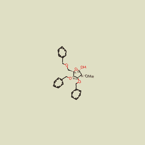 CO[C@@H]1[C@@H](OCc2ccccc2)[C@H](OCc2ccccc2)[C@@H](COCc2ccccc2)O[C@@H]1O